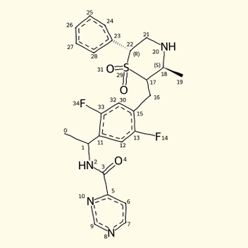 CC(NC(=O)c1ccncn1)c1cc(F)c(CC2[C@H](C)NC[C@@H](c3ccccc3)S2(=O)=O)cc1F